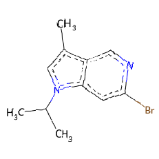 Cc1cn(C(C)C)c2cc(Br)ncc12